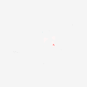 COc1cccc(S(OS(=O)(=O)C(F)(F)C(F)(F)C(F)(F)C(F)(F)F)(c2ccccc2)c2ccccc2)c1